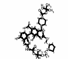 CN1CCC[C@H]1COc1nc(N2CCN(C(=O)OC(C)(C)C)CC2)c2cc(C(F)F)c(-c3ccc(F)c4sc(NC(=O)OC(C)(C)C)nc34)c(F)c2n1